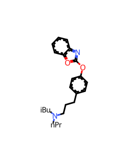 CCCN(CCCc1ccc(Oc2nc3ccccc3o2)cc1)C(C)CC